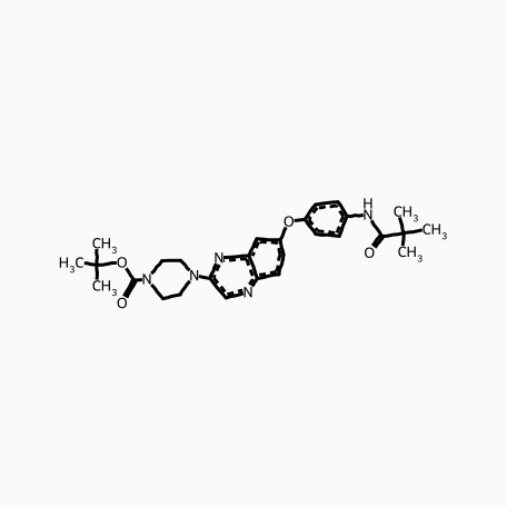 CC(C)(C)OC(=O)N1CCN(c2cnc3ccc(Oc4ccc(NC(=O)C(C)(C)C)cc4)cc3n2)CC1